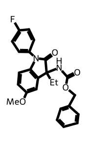 CCC1(NC(=O)OCc2ccccc2)C(=O)N(c2ccc(F)cc2)c2ccc(OC)cc21